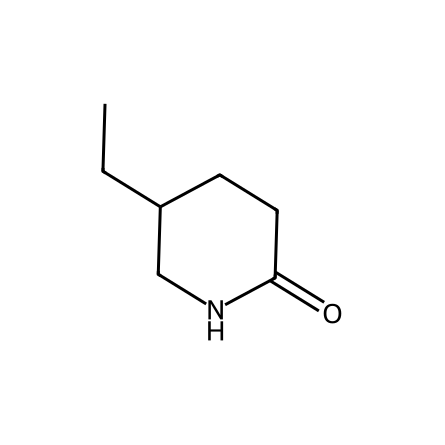 CCC1CCC(=O)NC1